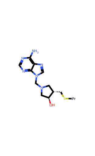 CC(C)SC[C@H]1CN(Cn2cnc3c(N)ncnc32)C[C@@H]1O